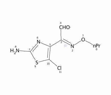 CCCO/N=C(\[C]=O)c1nc(N)sc1Cl